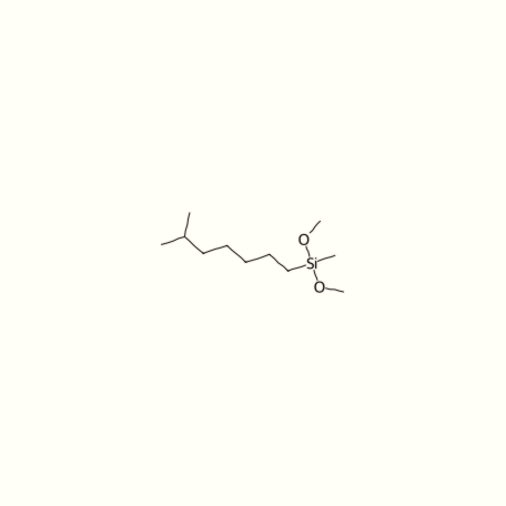 CO[Si](C)(CCCCCC(C)C)OC